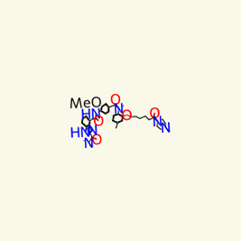 COc1cc(C(=O)N(C)c2ccc(C)cc2OCCCCCC(=O)N2CCN(C)CC2)ccc1NC(=O)c1cccc2[nH]c(C(=O)N(C)C)nc12